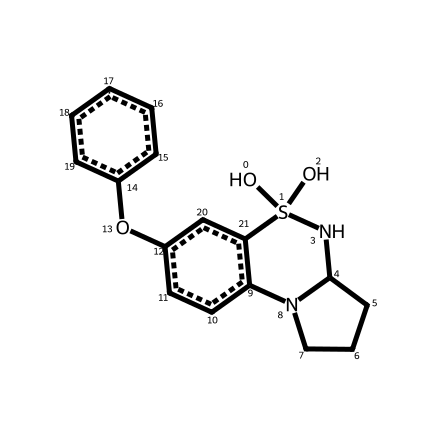 OS1(O)NC2CCCN2c2ccc(Oc3cc[c]cc3)cc21